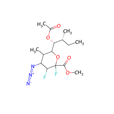 CC[C@@H](C)[C@@H](OC(C)=O)C1OC(F)(C(=O)OC)C(F)C(N=[N+]=[N-])C1C